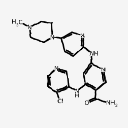 CN1CCN(c2ccc(Nc3cc(Nc4cnccc4Cl)c(C(N)=O)cn3)nc2)CC1